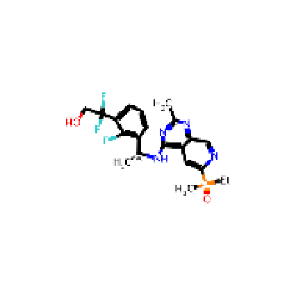 CCP(C)(=O)c1cc2c(N[C@H](C)c3cccc(C(F)(F)CO)c3F)nc(C)nc2cn1